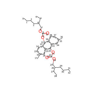 CCCCC(CC)COC(=O)Oc1c2ccc(C)cc2c(OC(=O)OCC(CC)CCCC)c2cc(C)ccc12